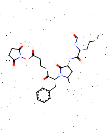 CSCC[C@H](NC=O)C(=O)N[C@H]1CC(C)N([C@@H](Cc2ccccc2)C(=O)NCCC(=O)ON2C(=O)CCC2=O)C1=O